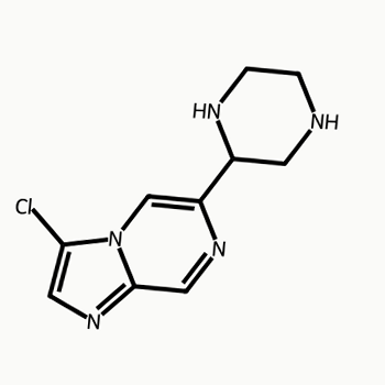 Clc1cnc2cnc(C3CNCCN3)cn12